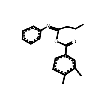 CCCC(=Nc1ccccc1)OC(=O)c1ccc(C)c(C)c1